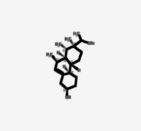 CC(=O)OC(C)[C@@]1(C)CC[C@H]2[C@@H]([C@H](C)C=C3C[C@H](O)CC[C@@H]32)[C@@H]1C